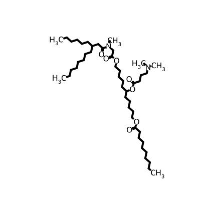 CCCCCCCCCC(=O)OCCCCCC(CCCCCOC(=O)CN(C)C(=O)CC(CCCCCC)CCCCCCCC)OC(=O)CCCN(C)C